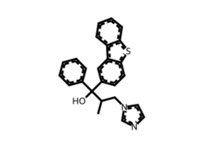 CC(Cn1ccnc1)C(O)(c1ccccc1)c1ccc2sc3ccccc3c2c1